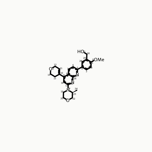 COc1ccc(-c2ccc3c(C4=CCOCC4)cc(N4CCOC[C@@H]4C)nc3n2)cc1CO